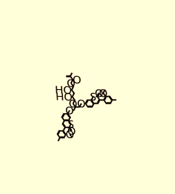 C=C(C)C(=O)OCC(O)CC(O)COC(COc1ccc2cc(-c3ccc(C)cc3OC)c(=O)sc2c1)COc1ccc2cc(-c3ccc(C)cc3OC)c(=O)sc2c1